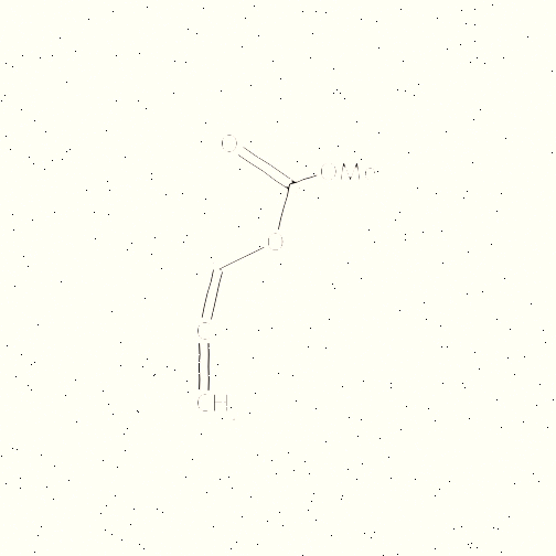 C=C=COC(=O)OC